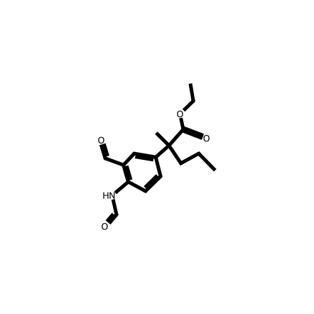 CCCC(C)(C(=O)OCC)c1ccc(NC=O)c(C=O)c1